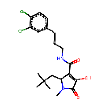 CN1C(=O)C(O)=C(C(=O)NCCCc2ccc(Cl)c(Cl)c2)C1CC(C)(C)C